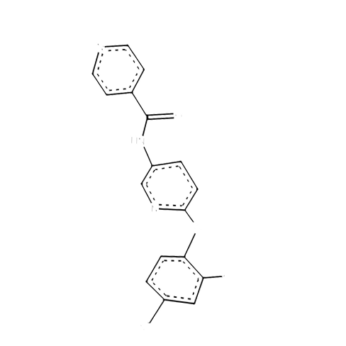 Cc1cc(Cl)ccc1Oc1ccc(NC(=O)c2ccncc2)cn1